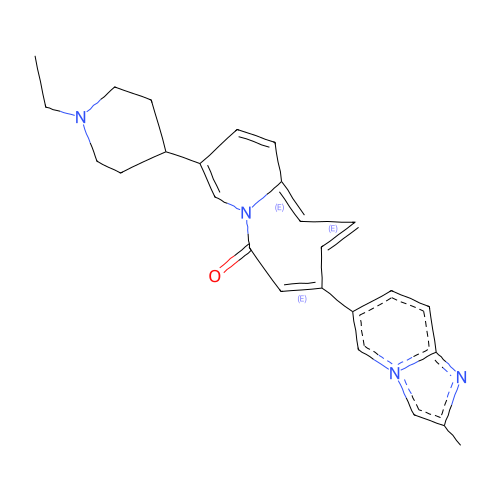 CCN1CCC(C2=CN3C(=O)\C=C(c4ccc5nc(C)cn5c4)/C=C/C=C/3C=C2)CC1